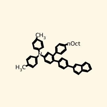 CCCCCCCCc1ccc(-c2cc(N(c3ccc(C)cc3)c3ccc(C)cc3)ccc2-c2ccc(-c3ccc4ccccc4c3)cc2)cc1